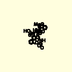 COc1cccc(OC)c1C(=O)C(=O)N[C@H]1CN(C(=O)CO)c2ccccc2N(CC(=O)N[C@H]2CC(=O)O[C@H]2OCc2ccccc2)C1=O